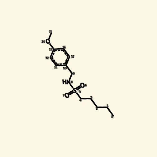 CCCCCS(=O)(=O)NCc1ccc(OC)cc1